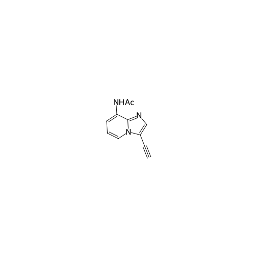 C#Cc1cnc2c(NC(C)=O)cccn12